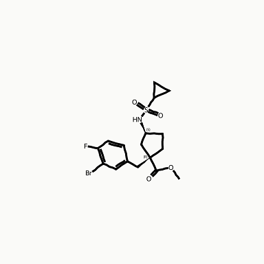 COC(=O)[C@@]1(Cc2ccc(F)c(Br)c2)CC[C@H](NS(=O)(=O)C2CC2)C1